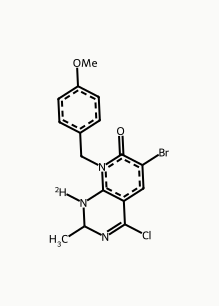 [2H]N1c2c(cc(Br)c(=O)n2Cc2ccc(OC)cc2)C(Cl)=NC1C